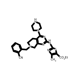 CCOC(=O)c1sc(Nc2nc3c(c(N4CCNCC4)n2)CCN(Cc2ccccc2C#N)C3)nc1C